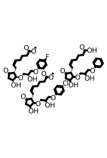 COC(=O)CCC/C=C\C[C@H]1C(=O)CC(O)C1OCC(O)COc1ccc(Cl)cc1.COC(=O)CCC/C=C\C[C@H]1C(=O)C[C@@H](O)[C@@H]1OC[C@@H](O)COc1ccc(F)cc1.O=C(O)CCC/C=C\C[C@H]1C(=O)CC(O)C1OCC(O)COc1ccccc1